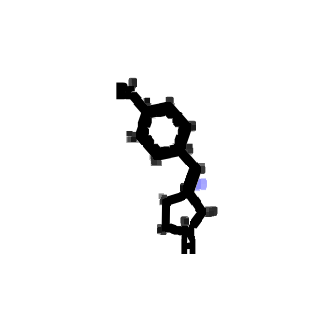 Brc1ccc(/C=C2\CCNC2)cc1